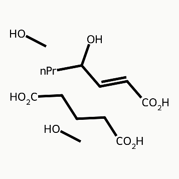 CCCC(O)C=CC(=O)O.CO.CO.O=C(O)CCCC(=O)O